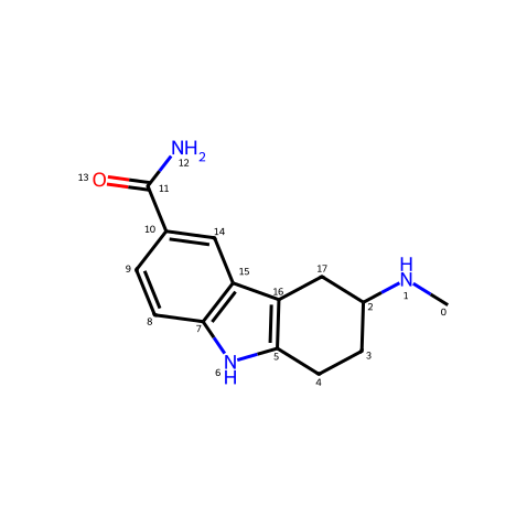 CNC1CCc2[nH]c3ccc(C(N)=O)cc3c2C1